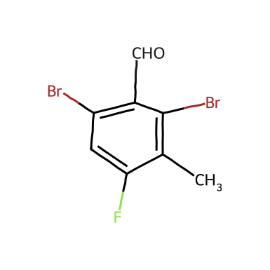 Cc1c(F)cc(Br)c(C=O)c1Br